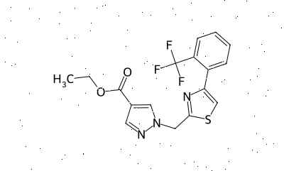 CCOC(=O)c1cnn(Cc2nc(-c3ccccc3C(F)(F)F)cs2)c1